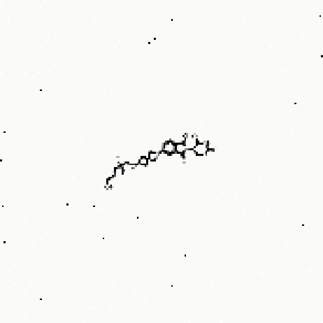 O=C1CCC(N2C(=O)c3ccc(N4CC5(CC(OCC(F)(F)CCCO)C5)C4)cc3C2=O)C(=O)N1